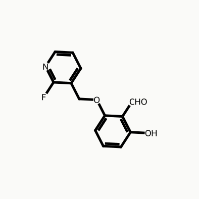 O=Cc1c(O)cccc1OCc1cccnc1F